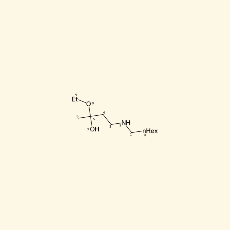 CCCCCCCNCCC(C)(O)OCC